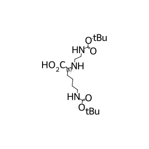 CC(C)(C)OC(=O)NCCCC[C@H](NCCNC(=O)OC(C)(C)C)C(=O)O